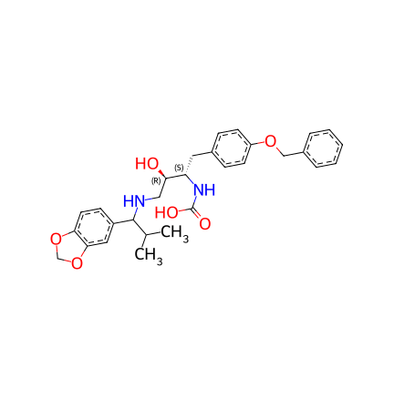 CC(C)C(NC[C@@H](O)[C@H](Cc1ccc(OCc2ccccc2)cc1)NC(=O)O)c1ccc2c(c1)OCO2